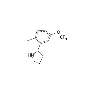 Cc1ccc(OC(F)(F)F)cc1C1CCCN1